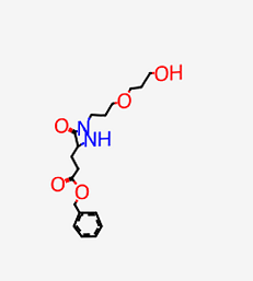 O=C(CCC1NN(CCCOCCCO)C1=O)OCc1ccccc1